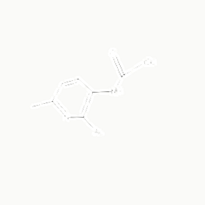 CC(=O)c1nc(C)ccc1NC(=O)C(C)(C)C